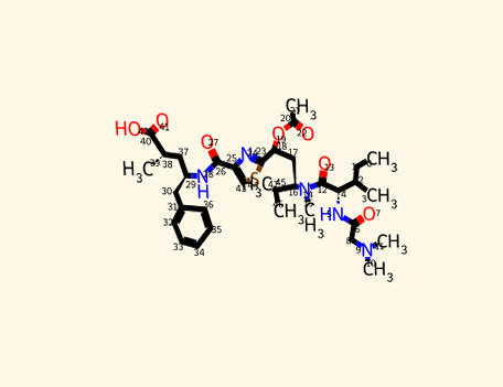 CCC(C)[C@H](NC(=O)CN(C)C)C(=O)N(C)[C@H](CC(OC(C)=O)c1nc(C(=O)N[C@@H](Cc2ccccc2)C[C@H](C)C(=O)O)cs1)C(C)C